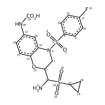 NC(C1CN(S(=O)(=O)c2ccc(F)cc2)c2cc(NC(=O)O)ccc2O1)S(=O)(=O)C1CC1